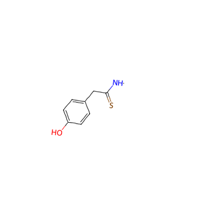 [NH]C(=S)Cc1ccc(O)cc1